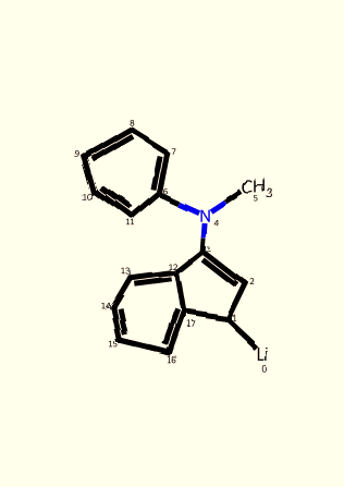 [Li][CH]1C=C(N(C)c2ccccc2)c2ccccc21